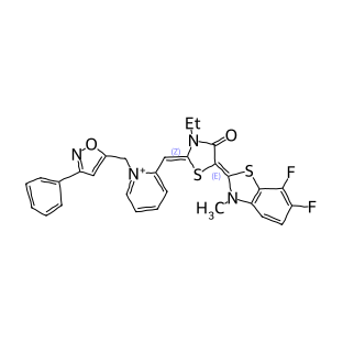 CCn1c(=O)/c(=C2\Sc3c(ccc(F)c3F)N2C)s/c1=C\c1cccc[n+]1Cc1cc(-c2ccccc2)no1